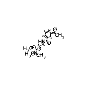 COC(OCCNC(=O)c1cccc(C(C)=O)c1)N(C)C